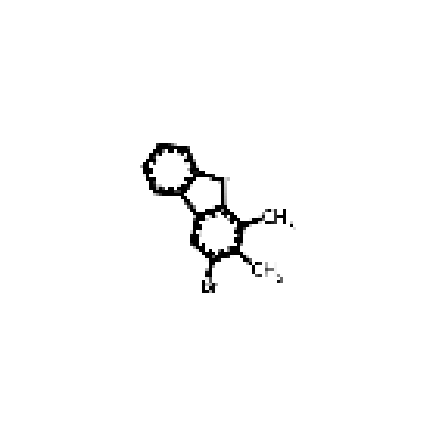 Cc1c(Br)cc2c(c1C)[CH]c1ccccc1-2